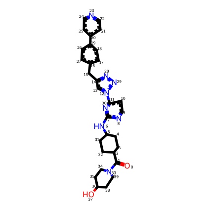 O=C(C1CCC(Nc2nccc(-n3cc(Cc4ccc(-c5ccncc5)cc4)nn3)n2)CC1)N1CCC(O)CC1